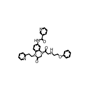 O=C(Nc1ccc2c(c1)N(C(=O)CNCCOc1ccccc1)CC(=O)N2CCc1ccccn1)c1cccnc1